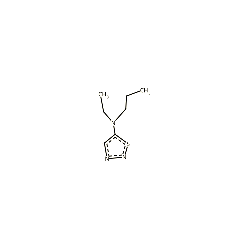 CCCN(CC)c1[c]nns1